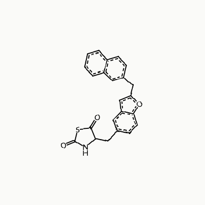 O=C1NC(Cc2ccc3oc(Cc4ccc5ccccc5c4)cc3c2)C(=O)S1